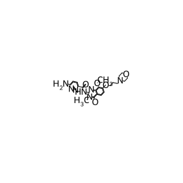 COc1c(OCCCN2CCOCC2)ccc2c(=O)n(C)c(NC(=O)c3ccc(N)nn3)nc12